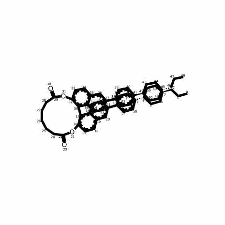 CCC[C@H]1CC[C@H](c2ccc(-c3ccc4c5c(ccc4c3)OC(=O)CCCCCC(=O)Oc3ccc4cc(-c6ccc([C@H]7CC[C@H](CCC)CC7)cc6)ccc4c3-5)cc2)CC1